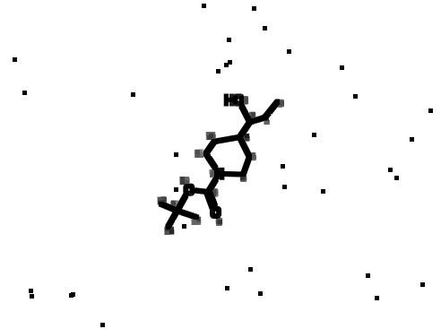 CCC(O)C1CCN(C(=O)OC(C)(C)C)CC1